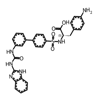 Nc1ccc(C[C@H](NS(=O)(=O)c2ccc(-c3cccc(NC(=O)Nc4nc5ccccc5[nH]4)c3)cc2)C(=O)O)cc1